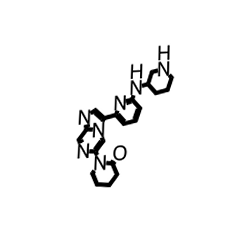 O=C1CCCCN1c1cn2c(-c3cccc(NC4CCCNC4)n3)cnc2cn1